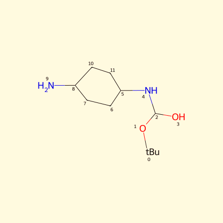 CC(C)(C)OC(O)NC1CCC(N)CC1